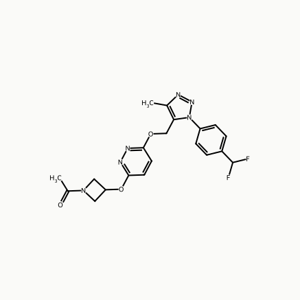 CC(=O)N1CC(Oc2ccc(OCc3c(C)nnn3-c3ccc(C(F)F)cc3)nn2)C1